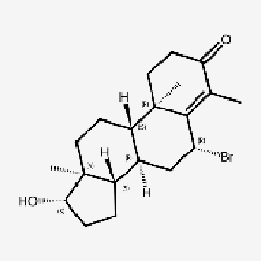 CC1=C2[C@H](Br)C[C@H]3[C@@H]4CC[C@H](O)[C@@]4(C)CC[C@@H]3[C@@]2(C)CCC1=O